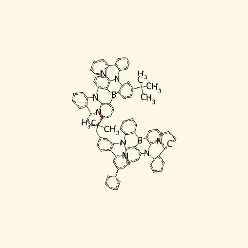 CC(C)(C)c1ccc2c(c1)N(c1ccccc1-c1ccccn1)c1cccc3c1B2c1ccc(C(C)(C)Cc2ccc(-c4cc(-c5ccccc5)ccn4)c(N4c5ccccc5B5c6ccccc6N(c6ccccc6-c6ccccn6)c6cccc4c65)c2)cc1N3c1ccccc1-c1ccccn1